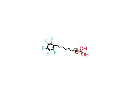 OC(O)O[SiH2]CCCCCCc1c(F)c(F)c(F)c(F)c1F